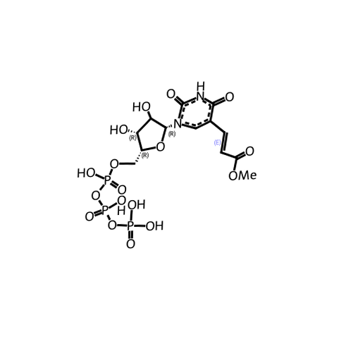 COC(=O)/C=C/c1cn([C@@H]2O[C@H](COP(=O)(O)OP(=O)(O)OP(=O)(O)O)[C@H](O)C2O)c(=O)[nH]c1=O